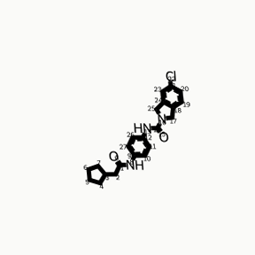 O=C(CC1CCCC1)Nc1ccc(NC(=O)N2Cc3ccc(Cl)cc3C2)cc1